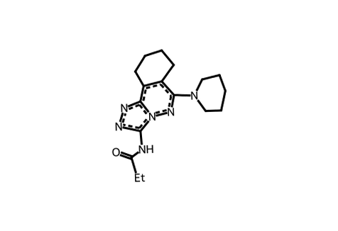 CCC(=O)Nc1nnc2c3c(c(N4CCCCC4)nn12)CCCC3